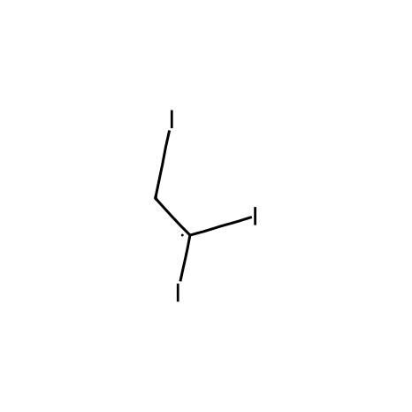 IC[C](I)I